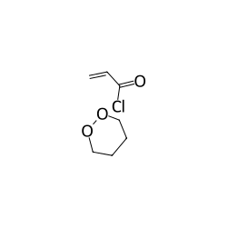 C1CCOOC1.C=CC(=O)Cl